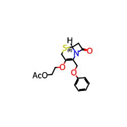 CC(=O)OCCOC1=C(COc2ccccc2)N2C(=O)C[C@H]2SC1